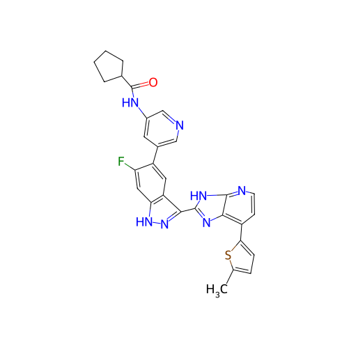 Cc1ccc(-c2ccnc3[nH]c(-c4n[nH]c5cc(F)c(-c6cncc(NC(=O)C7CCCC7)c6)cc45)nc23)s1